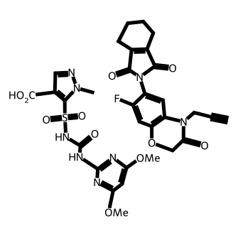 C#CCN1C(=O)COc2cc(F)c(N3C(=O)C4=C(CCCC4)C3=O)cc21.COc1cc(OC)nc(NC(=O)NS(=O)(=O)c2c(C(=O)O)cnn2C)n1